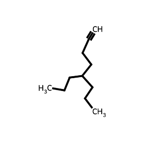 C#CCCC(CCC)CCC